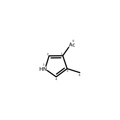 CC(=O)c1c[nH]cc1C